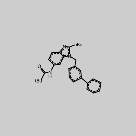 CCCCc1nc2ccc(NC(=O)C(C)(C)C)cc2n1Cc1cccc(-c2ccccc2)c1